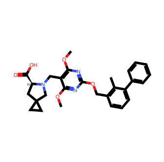 COc1nc(OCc2cccc(-c3ccccc3)c2C)nc(OC)c1CN1CC2(CC2)C[C@H]1C(=O)O